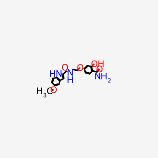 COc1ccc2[nH]c(C(=O)NCCOc3ccc(C(N)=O)c(O)c3)cc2c1